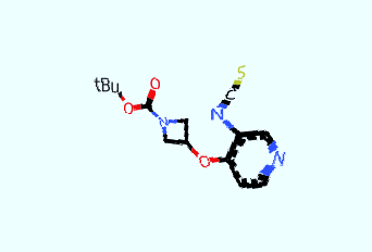 CC(C)(C)OC(=O)N1CC(Oc2ccncc2N=C=S)C1